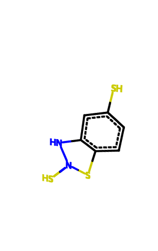 Sc1ccc2c(c1)NN(S)S2